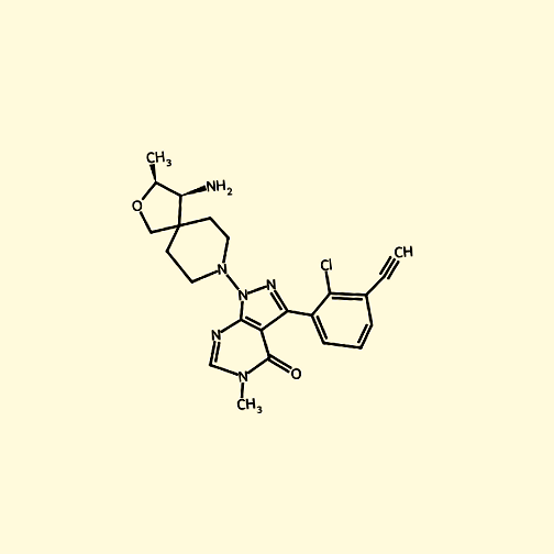 C#Cc1cccc(-c2nn(N3CCC4(CC3)CO[C@@H](C)[C@H]4N)c3ncn(C)c(=O)c23)c1Cl